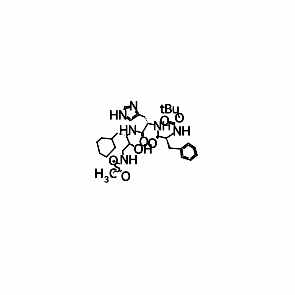 CC(C)(C)OC(=O)N[C@@H](Cc1ccccc1)C(=O)N[C@@H](Cc1c[nH]cn1)C(=O)N[C@@H](CC1CCCCC1)[C@@H](O)CNS(C)(=O)=O